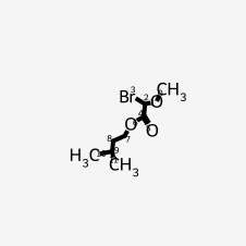 COC(Br)C(=O)OCCC(C)C